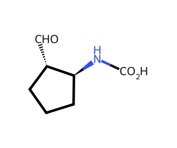 O=C[C@H]1CCC[C@@H]1NC(=O)O